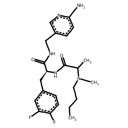 CCCCN(C)C(C)C(=O)N[C@@H](Cc1ccc(F)c(F)c1)C(=O)NCc1ccc(N)nc1